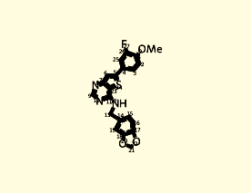 COc1ccc(-c2cc3ncnc(NCc4ccc5c(c4)OCO5)c3s2)cc1F